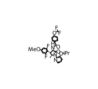 COc1cc(F)c([C@H]2[C@H](NC(=O)c3ccc(OC(F)F)cc3)C(=O)N(c3ncccc3OC(C)C)[C@H]2C)c(F)c1